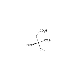 CCCC(C)[C@@](C)(CC(=O)O)C(=O)O